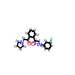 O=C(CNc1cccc(F)c1)c1ccccc1C(=O)CN1CCCC1